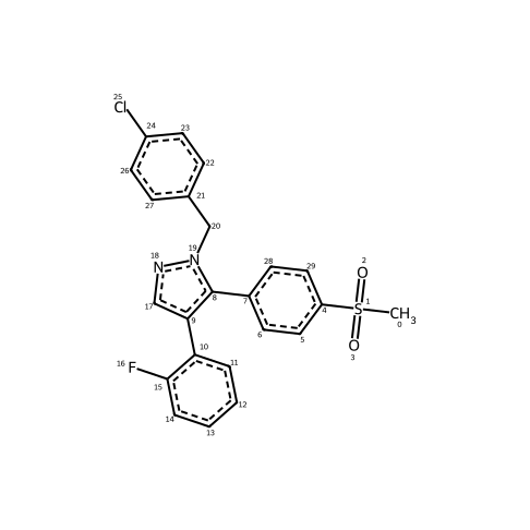 CS(=O)(=O)c1ccc(-c2c(-c3ccccc3F)cnn2Cc2ccc(Cl)cc2)cc1